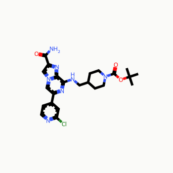 CC(C)(C)OC(=O)N1CCC(CNc2nc(-c3ccnc(Cl)c3)cn3cc(C(N)=O)nc23)CC1